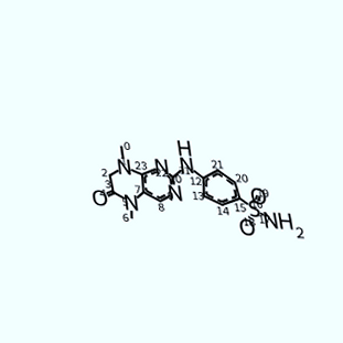 CN1CC(=O)N(C)c2cnc(Nc3ccc(S(N)(=O)=O)cc3)nc21